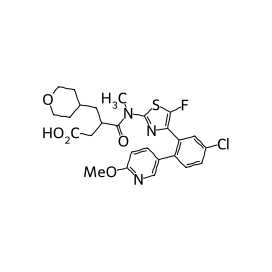 COc1ccc(-c2ccc(Cl)cc2-c2nc(N(C)C(=O)C(CC(=O)O)CC3CCOCC3)sc2F)cn1